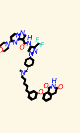 CN(CCCCCc1cccc(Oc2cccc3c2C(=O)NC(=O)C3)c1)C[C@H]1CC[C@H](n2cc(NC(=O)c3cnn4ccc(N5CCOCC5)nc34)c(C(F)F)n2)CC1